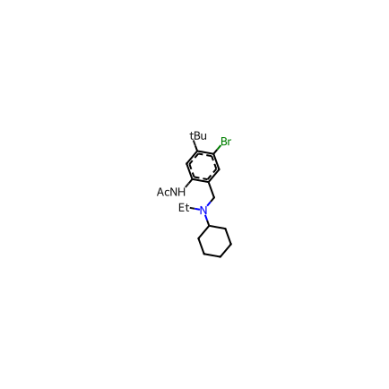 CCN(Cc1cc(Br)c(C(C)(C)C)cc1NC(C)=O)C1CCCCC1